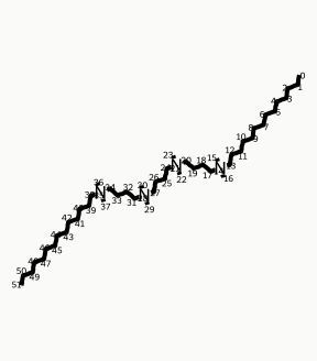 CCCCCCCCCCCCCC[N+](C)(C)CCCC[N+](C)(C)CCCC[N+](C)(C)CCCC[N+](C)(C)CCCCCCCCCCCCCC